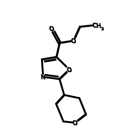 CCOC(=O)c1cnc(C2CCOCC2)o1